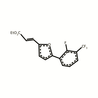 CCOC(=O)/C=C/c1ccc(-c2cccc(C(F)(F)F)c2F)o1